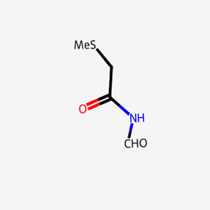 CSCC(=O)NC=O